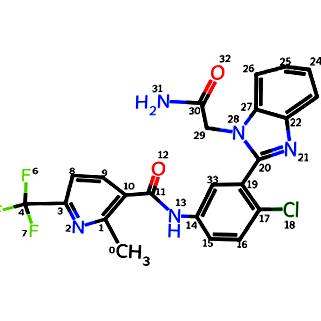 Cc1nc(C(F)(F)F)ccc1C(=O)Nc1ccc(Cl)c(-c2nc3ccccc3n2CC(N)=O)c1